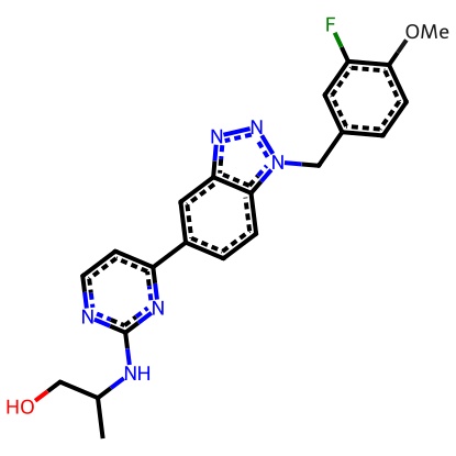 COc1ccc(Cn2nnc3cc(-c4ccnc(NC(C)CO)n4)ccc32)cc1F